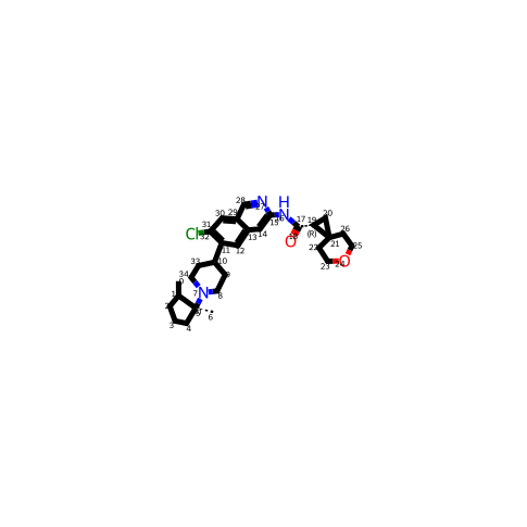 CC1CCC[C@]1(C)N1CCC(c2cc3cc(NC(=O)[C@@H]4CC45CCOCC5)ncc3cc2Cl)CC1